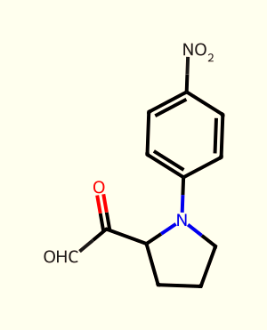 O=CC(=O)C1CCCN1c1ccc([N+](=O)[O-])cc1